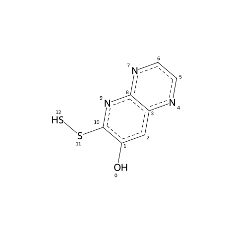 Oc1cc2nccnc2nc1SS